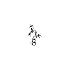 CSc1nc2c(c(N3CCN(C(=O)OC(C)(C)C)[C@@H](CC#N)C3)n1)CC[C@@]1(CCc3c(F)cccc3C1)C2